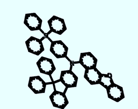 c1ccc(C2(c3ccccc3)c3ccccc3-c3ccc(N(c4ccc([Si](c5ccccc5)(c5ccccc5)c5ccccc5)cc4)c4cccc5c4ccc4c6ccccc6oc54)cc32)cc1